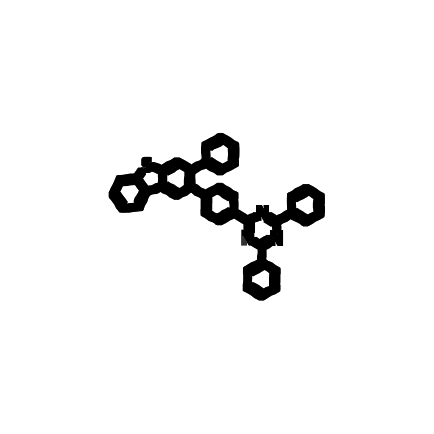 c1ccc(-c2nc(-c3ccccc3)nc(-c3ccc(-c4cc5c(cc4-c4ccccc4)sc4ccccc45)cc3)n2)cc1